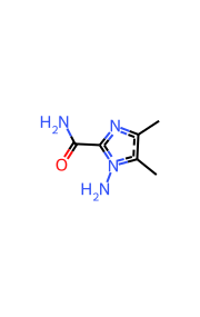 Cc1nc(C(N)=O)n(N)c1C